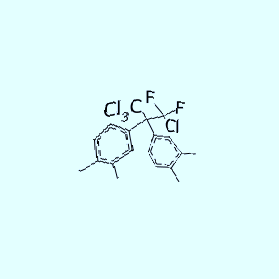 Cc1ccc(C(c2ccc(C)c(C)c2)(C(F)(F)Cl)C(Cl)(Cl)Cl)cc1C